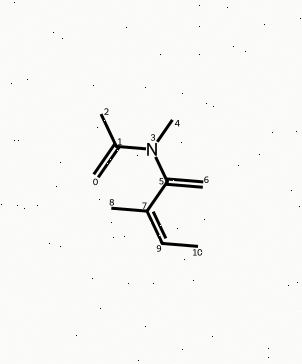 C=C(C)N(C)C(=C)/C(C)=C\C